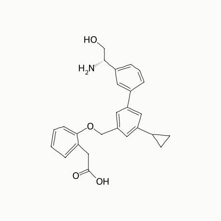 N[C@H](CO)c1cccc(-c2cc(COc3ccccc3CC(=O)O)cc(C3CC3)c2)c1